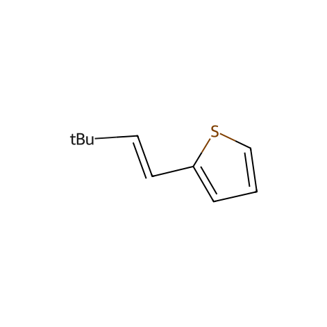 CC(C)(C)/C=C/c1cccs1